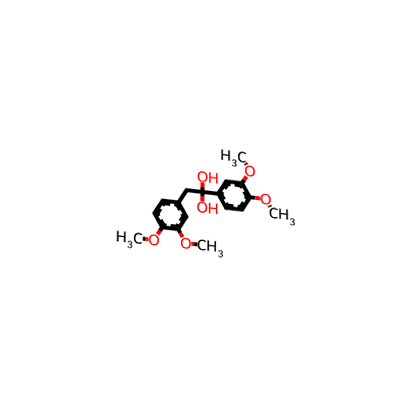 COc1ccc(CC(O)(O)c2ccc(OC)c(OC)c2)cc1OC